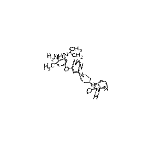 C=C(C)Nc1cc(Oc2cc(N3CCC(n4c(=O)[nH]c5ncccc54)CC3)ncn2)cc(C)c1N